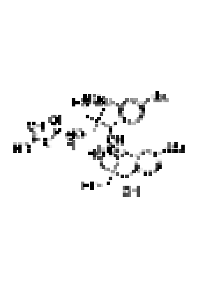 CC(C)(C)c1ccc(C(O)C(CO)(CO)CO)c(C(C)(C)C)c1.CC(C)(C)c1ccc(C(O)C(CO)(CO)CO)c(C(C)(C)C)c1.OP(O)OP(O)O